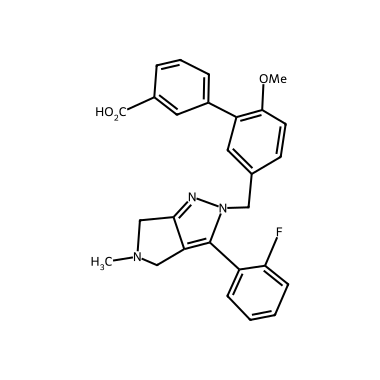 COc1ccc(Cn2nc3c(c2-c2ccccc2F)CN(C)C3)cc1-c1cccc(C(=O)O)c1